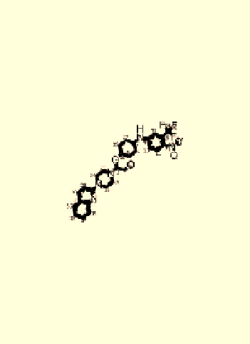 O=CC(OC1CCC(Nc2ccc([N+](=O)[O-])c(C(F)(F)F)c2)CC1)N1CCN(c2ccc3ccccc3n2)CC1